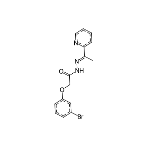 C/C(=N\NC(=O)COc1cccc(Br)c1)c1ccccn1